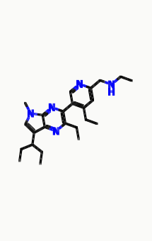 CCNCc1cc(CC)c(-c2nc3c(nc2CC)c(C(CC)CC)cn3C)cn1